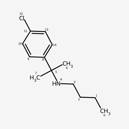 CCCCNC(C)(C)c1ccc(Cl)cc1